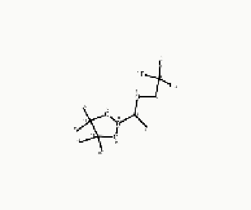 CC(OCC(F)(F)F)B1OC(C)(C)C(C)(C)O1